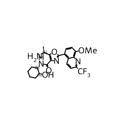 COc1ccc(-c2nc(C(=O)N[C@H]3CCCC[C@@H]3O)c([C@H](C)N)o2)c2ccc(C(F)(F)F)nc12